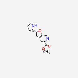 COC(=O)c1cc2cc([C@@H]3CCCN3)oc2cn1